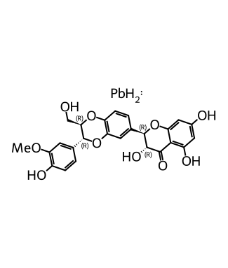 COc1cc([C@H]2Oc3cc([C@H]4Oc5cc(O)cc(O)c5C(=O)[C@@H]4O)ccc3O[C@@H]2CO)ccc1O.[PbH2]